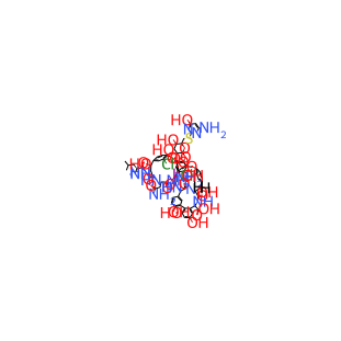 CN[C@@H](CC(C)C)C(=O)NC1C(=O)NC(CC(N)=O)C(=O)NC2C(=O)NC3C(=O)N[C@H](C(=O)NC(C(=O)O)c4cc(O)cc(O)c4-c4cc3ccc4O)[C@H](O)c3ccc(c(Cl)c3)Oc3cc2cc(c3OC2OC(CSc3nc(N)cc(O)n3)C(O)C(O)C2OC2CC(N)(I)C(O)C(C)O2)Oc2ccc(cc2Cl)C1O